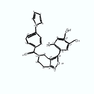 O=C(c1ccc(-n2cccc2)cc1)N1CCc2noc(-c3cc(Cl)c(O)cc3O)c2C1